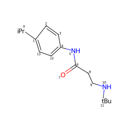 CC(C)c1ccc(NC(=O)CCNC(C)(C)C)cc1